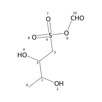 CC(O)C(O)CS(=O)(=O)OC=O